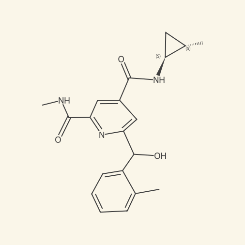 CNC(=O)c1cc(C(=O)N[C@H]2C[C@@H]2C)cc(C(O)c2ccccc2C)n1